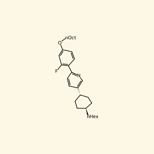 CCCCCCCCOc1ccc(-c2ccc([C@H]3CC[C@H](CCCCCC)CC3)cn2)c(F)c1